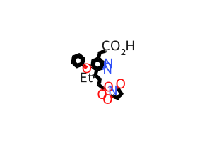 CCC(CCC(=O)ON1C(=O)CCC1=O)c1c(Oc2ccccc2)cc(CCC(=O)O)c2c1N=N2